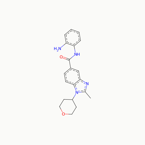 Cc1nc2cc(C(=O)Nc3ccccc3N)ccc2n1C1CCOCC1